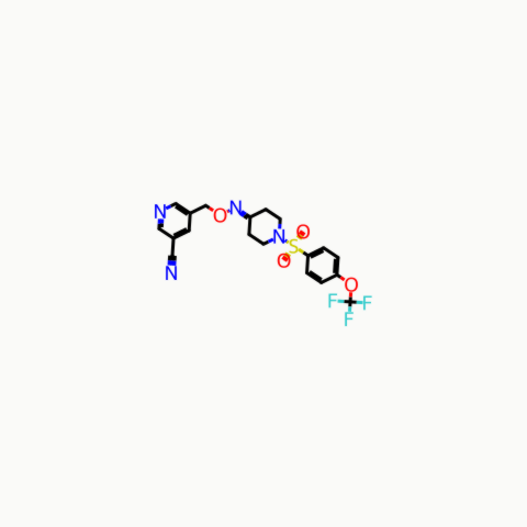 N#Cc1cncc(CON=C2CCN(S(=O)(=O)c3ccc(OC(F)(F)F)cc3)CC2)c1